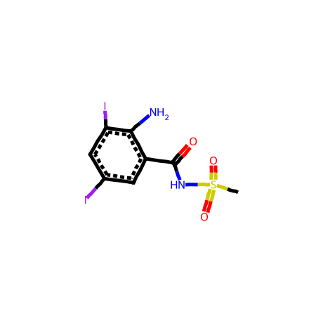 CS(=O)(=O)NC(=O)c1cc(I)cc(I)c1N